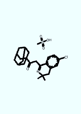 CC1(C)Cc2cc(Cl)ccc2C(CC(=O)C23CC4CC(CC(C4)C2)C3)=N1.CS(=O)(=O)O